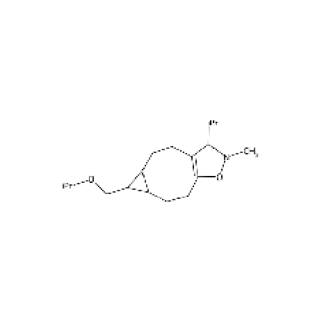 CC(C)OCC1C2CCC3=C(CCC21)C(C(C)C)N(C)O3